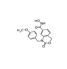 COc1ccc(CN2C(=O)OCc3ccc(C(=O)NO)cc32)cc1